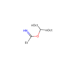 CCCCCCCCC(CCCCCCCC)OC(=N)CC